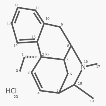 CC[C@@]12C=CC3CC1C(Cc1ccccc12)N(C)C3C.Cl